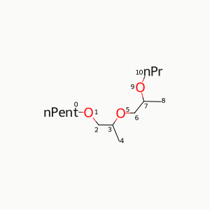 CCCCCOCC(C)OCC(C)OCCC